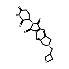 O=C1CCC(N2C(=O)c3cc4c(cc3C2=O)CN(CC2CNC2)C4)C(=O)N1